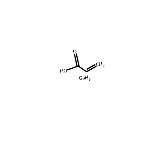 C=CC(=O)O.[GaH3]